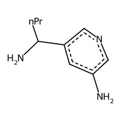 CCCC(N)c1cncc(N)c1